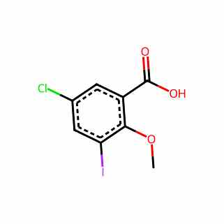 COc1c(I)cc(Cl)cc1C(=O)O